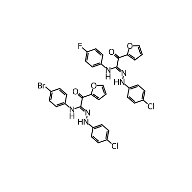 O=C(C(=NNc1ccc(Cl)cc1)Nc1ccc(Br)cc1)c1ccco1.O=C(C(=NNc1ccc(Cl)cc1)Nc1ccc(F)cc1)c1ccco1